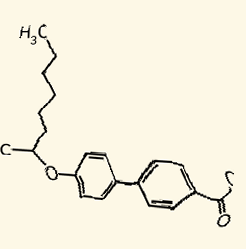 CCCCCCC(C)Oc1ccc(-c2ccc(C(=O)Cl)cc2)cc1